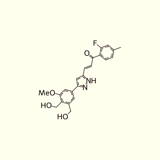 COc1cc(-c2cc(/C=C/C(=O)c3ccc(C)cc3F)[nH]n2)cc(CO)c1CO